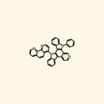 c1ccc(-n2c3ccccc3c3c2c2cnccc2c2c4ccccc4n(-c4ccnc5c4ccc4cccnc45)c23)cc1